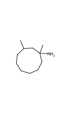 CC1CCCCCCC(C)(N)C1